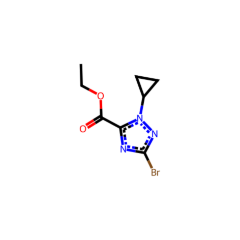 CCOC(=O)c1nc(Br)nn1C1CC1